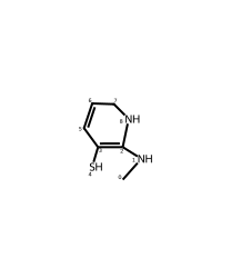 CNC1=C(S)C=CCN1